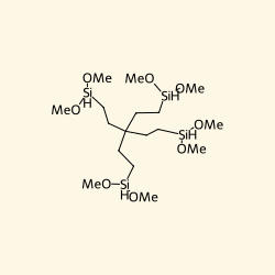 CO[SiH](CCC(CC[SiH](OC)OC)(CC[SiH](OC)OC)CC[SiH](OC)OC)OC